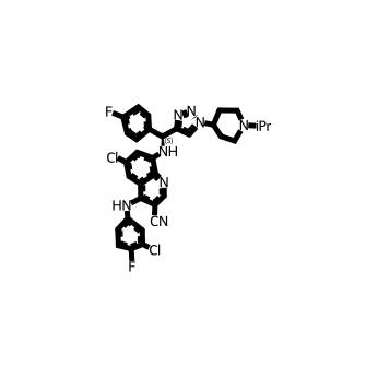 CC(C)N1CCC(n2cc([C@@H](Nc3cc(Cl)cc4c(Nc5ccc(F)c(Cl)c5)c(C#N)cnc34)c3ccc(F)cc3)nn2)CC1